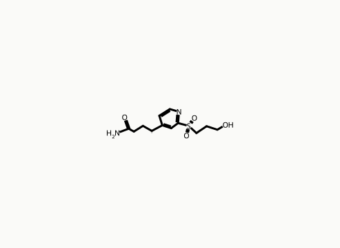 NC(=O)CC[CH]c1ccnc(S(=O)(=O)CCCO)c1